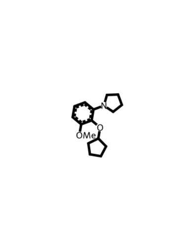 COc1cccc(N2CCCC2)c1OC1CCCC1